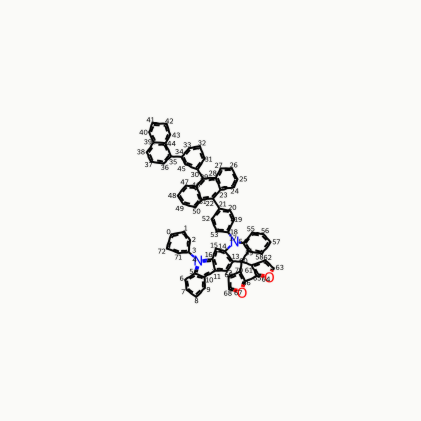 c1ccc(-n2c3ccccc3c3cc4c(cc32)N(c2ccc(-c3c5ccccc5c(-c5cccc(-c6cccc7ccccc67)c5)c5ccccc35)cc2)c2ccccc2C42c3ccoc3-c3occc32)cc1